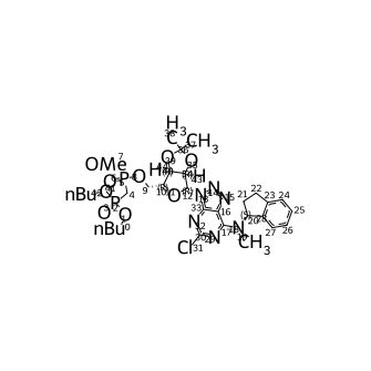 CCCCOP(=O)(CP(=O)(OC)OC[C@H]1O[C@@H](n2nnc3c(N(C)[C@H]4CCc5ccccc54)nc(Cl)nc32)[C@@H]2OC(C)(C)O[C@@H]21)OCCCC